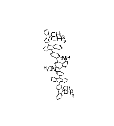 Cn1c2cc(-c3c4ccccc4c(-c4ccc5c(c4)C(C)(C)c4ccccc4-5)c4ccccc34)ccc2c2c3cccc4c3c(cc21)-c1ccc(-c2c3ccccc3c(-c3ccc5c(c3)C(C)(C)c3ccccc3-5)c3ccccc23)cc1N4